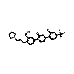 N=Cc1cc(-n2ccc(-c3ccc(C(F)(F)F)cc3F)cc2=O)ccc1CCCN1CCCC1